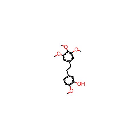 COc1ccc(CCc2cc(OC)c(OC)c(OC)c2)cc1O